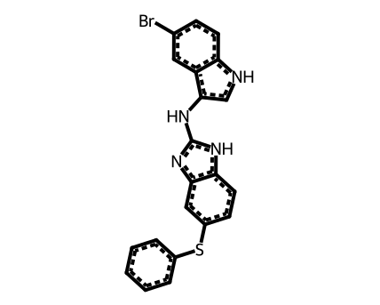 Brc1ccc2[nH]cc(Nc3nc4cc(Sc5ccccc5)ccc4[nH]3)c2c1